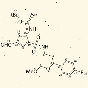 COCOC(CCNS(=O)(=O)c1cc(C=O)sc1NC(=O)OC(C)(C)C)c1ccc(F)cc1